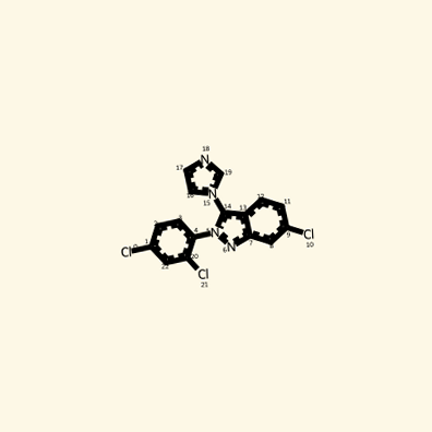 Clc1ccc(-n2nc3cc(Cl)ccc3c2-n2ccnc2)c(Cl)c1